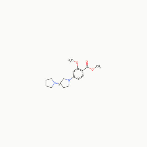 COC(=O)c1ccc(N2CC[C@@H](N3CCCC3)C2)cc1OC